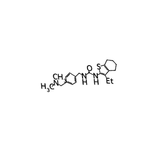 CCc1c(NC(=O)NCc2ccc(CN(C)C)cc2)sc2c1CCCC2